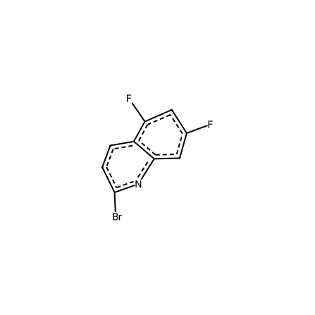 Fc1cc(F)c2ccc(Br)nc2c1